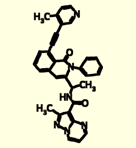 Cc1ccncc1C#Cc1cccc2cc(C(C)NC(=O)c3c(C)nn4cccnc34)n(-c3ccccc3)c(=O)c12